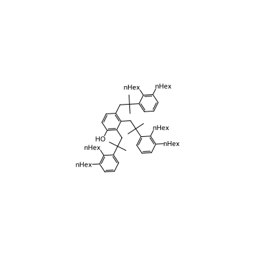 CCCCCCc1cccc(C(C)(C)Cc2ccc(O)c(CC(C)(C)c3cccc(CCCCCC)c3CCCCCC)c2CC(C)(C)c2cccc(CCCCCC)c2CCCCCC)c1CCCCCC